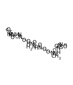 Cc1nc2cc(C(=O)Nc3nnc(-c4ccco4)s3)ccc2n1CCOCCOCCNC(=O)CC[C@H](N)C(=O)NCCOCCOCCn1cnc2cc(C(=O)Nc3nnc(-c4ccco4)s3)ccc21